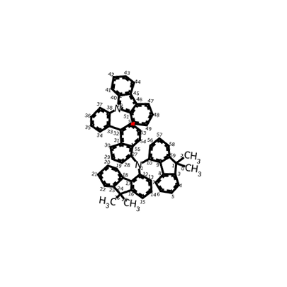 CC1(C)c2ccccc2-c2c(N(c3cccc4c3-c3ccccc3C4(C)C)c3cccc4c(-c5ccccc5-n5c6ccccc6c6ccccc65)cccc34)cccc21